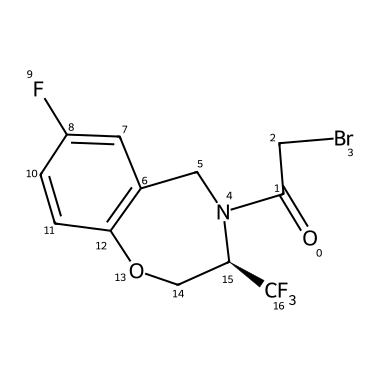 O=C(CBr)N1Cc2cc(F)ccc2OC[C@@H]1C(F)(F)F